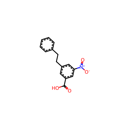 O=C(O)c1cc(CCc2ccccc2)cc([N+](=O)[O-])c1